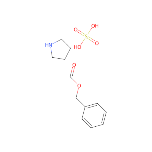 C1CCNC1.O=COCc1ccccc1.O=S(=O)(O)O